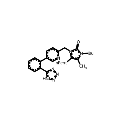 CCCCCc1c(C)n(C(C)CC)c(=O)n1Cc1ccc(-c2ccccc2-c2nnn[nH]2)cn1